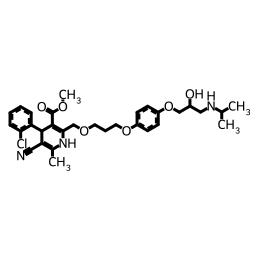 COC(=O)C1=C(COCCCOc2ccc(OCC(O)CNC(C)C)cc2)NC(C)=C(C#N)C1c1ccccc1Cl